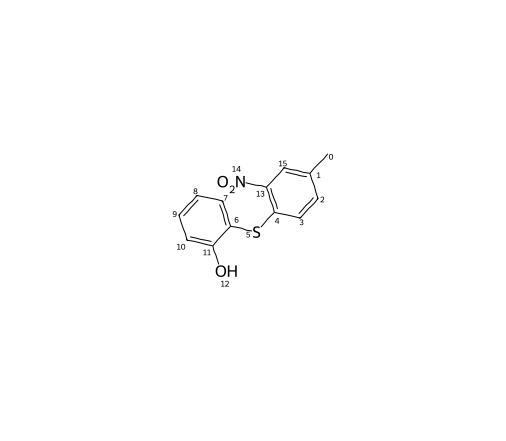 Cc1ccc(Sc2ccccc2O)c([N+](=O)[O-])c1